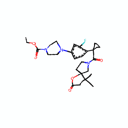 CCOC(=O)N1CCN(c2ccc(C3(C(=O)N4CCC5(C4)OC(=O)CC5(C)C)CC3)c(F)c2)CC1